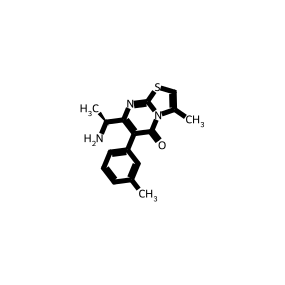 Cc1cccc(-c2c([C@H](C)N)nc3scc(C)n3c2=O)c1